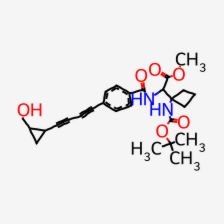 COC(=O)C(NC(=O)c1ccc(C#CC#CC2CC2CO)cc1)C1(NC(=O)OC(C)(C)C)CCC1